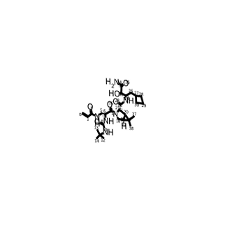 C=CC(=O)NC[C@H](NC(=O)NC(C)(C)C)C(=O)N1C[C@H]2C([C@H]1C(=O)NC(CC1CCC1)C(O)C(N)=O)C2(C)C